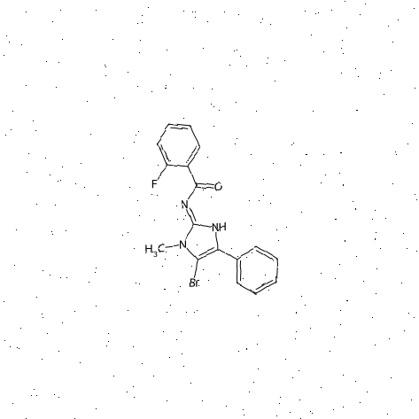 Cn1c(Br)c(-c2ccccc2)[nH]/c1=N\C(=O)c1ccccc1F